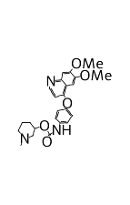 COc1cc2nccc(Oc3ccc(NC(=O)OC4CCCN(C)C4)cc3)c2cc1OC